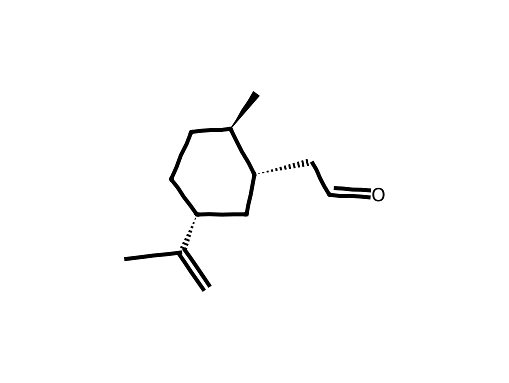 C=C(C)[C@@H]1CC[C@@H](C)[C@H](CC=O)C1